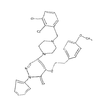 COc1ccc(CCOc2c(N3CCN(Cc4cccc(Cl)c4Cl)CC3)cnn(-c3ccccc3)c2=O)cc1